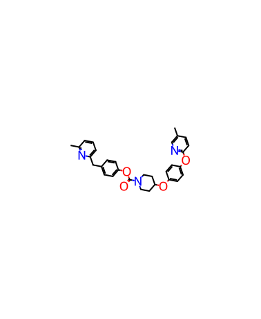 Cc1ccc(Oc2ccc(OC3CCN(C(=O)Oc4ccc(Cc5cccc(C)n5)cc4)CC3)cc2)nc1